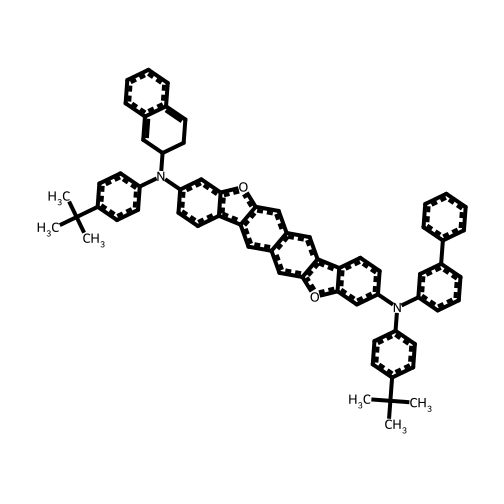 CC(C)(C)c1ccc(N(c2cccc(-c3ccccc3)c2)c2ccc3c(c2)oc2cc4cc5c(cc4cc23)oc2cc(N(c3ccc(C(C)(C)C)cc3)C3C=c4ccccc4=CC3)ccc25)cc1